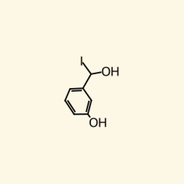 Oc1cccc(C(O)I)c1